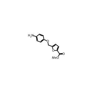 COC(=O)c1ccc(COc2ccc(N)cc2)o1